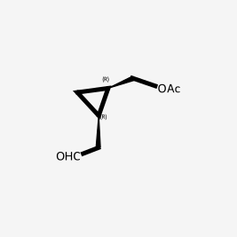 CC(=O)OC[C@@H]1C[C@@H]1CC=O